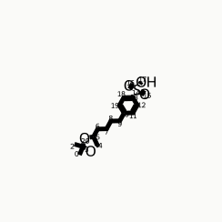 CC1(C)OCC(CCCCc2ccc(S(=O)(=O)O)cc2)O1